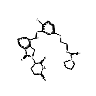 O=C1CCC(N2Cc3c(NCc4cc(OCCOC(=O)N5CCCC5)ccc4F)cccc3C2=O)C(=O)N1